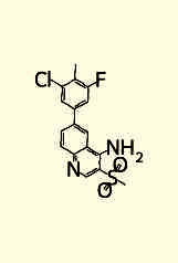 Cc1c(F)cc(-c2ccc3ncc(S(C)(=O)=O)c(N)c3c2)cc1Cl